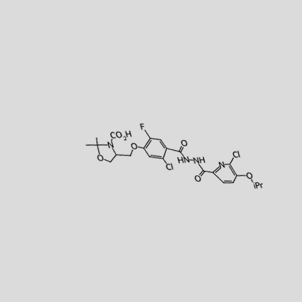 CC(C)Oc1ccc(C(=O)NNC(=O)c2cc(F)c(OCC3COC(C)(C)N3C(=O)O)cc2Cl)nc1Cl